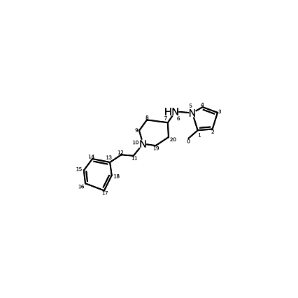 Cc1cccn1NC1CCN(CCc2ccccc2)CC1